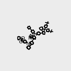 CC(C)(C)c1ccc(C2(c3ccc(C(C)(C)C)cc3)c3ccccc3-c3c(-c4ccc(N(c5ccc(-c6ccccc6)cc5)c5ccc(-c6ccc7c8ccccc8n(-c8ccc(S(=O)(=O)c9ccccc9)cc8)c7c6)c6nsnc56)cc4)cccc32)cc1